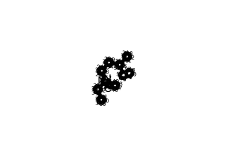 C1=CC2C=CC=C(c3cc(-c4ccccc4)cc(-c4cccc(-c5cccc(-c6nc(-c7cccc(-c8ccccc8)c7)c7oc8ccccc8c7n6)c5)c4)c3)C2C=C1